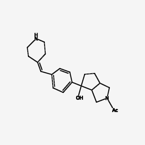 CC(=O)N1CC2CCC(O)(c3ccc(C=C4CCNCC4)cc3)C2C1